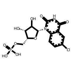 O=c1[nH]c(=O)n([C@@H]2O[C@H](COP(=O)(O)O)[C@H](O)C2O)c2ccc(Cl)cc12